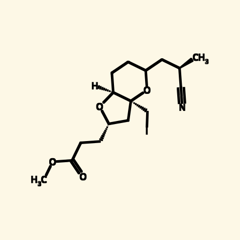 COC(=O)CC[C@H]1C[C@]2(CI)OC(C[C@@H](C)C#N)CC[C@@H]2O1